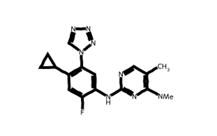 CNc1nc(Nc2cc(-n3cnnn3)c(C3CC3)cc2F)ncc1C